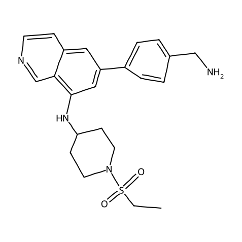 CCS(=O)(=O)N1CCC(Nc2cc(-c3ccc(CN)cc3)cc3ccncc23)CC1